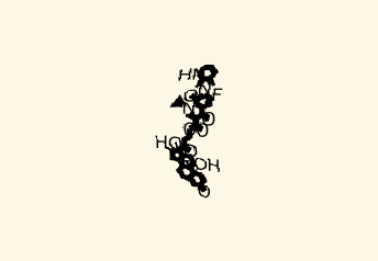 COc1c(N2CC3CCCNC3C2)c(F)cc2c(=O)c(C(=O)OC[CH]C(=O)[C@@]3(O)[C@H](C)CC4C5CCC6=CC(=O)C=C[C@]6(C)[C@@]5(F)[C@@H](O)C[C@@]43C)cn(C3CC3)c12